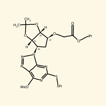 CCCSc1nc(OC)c2nnn([C@@H]3C[C@H](OCC(=O)OC(C)C)[C@H]4OC(C)(C)O[C@H]43)c2n1